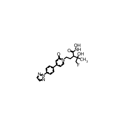 CC(O)(CF)C(CCn1ccc(-c2ccc(-n3nccn3)cc2)cc1=O)C(=O)NO